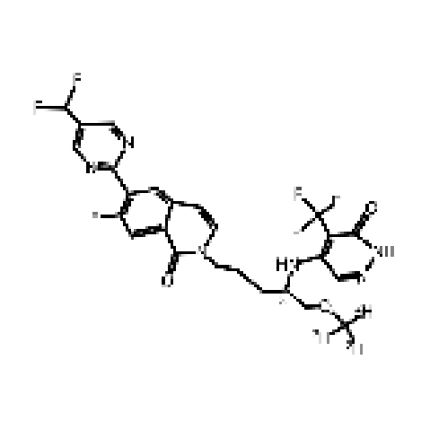 [2H]C([2H])([2H])OC[C@@H](CCCn1ccc2cc(-c3ncc(C(F)F)cn3)c(F)cc2c1=O)Nc1cn[nH]c(=O)c1C(F)(F)F